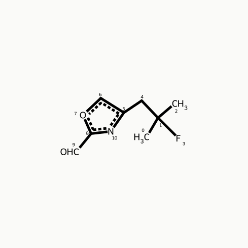 CC(C)(F)Cc1coc(C=O)n1